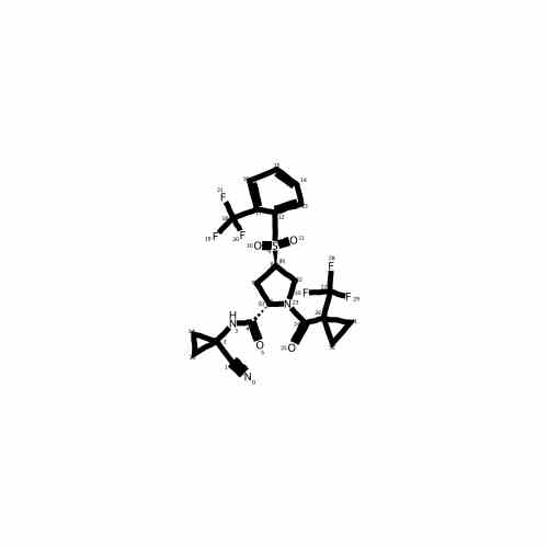 N#CC1(NC(=O)[C@@H]2C[C@@H](S(=O)(=O)c3ccccc3C(F)(F)F)CN2C(=O)C2(C(F)(F)F)CC2)CC1